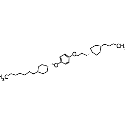 CCCCCCC[C@H]1CC[C@H](COc2ccc(OCCC[C@H]3CC[C@H](CCCC)CC3)cc2)CC1